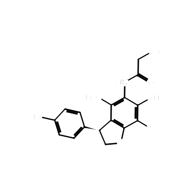 CC(=O)c1c(C)c(NC(=O)CC(C)(C)C)c(C)c2c1OC[C@H]2c1ccc(C(C)C)cc1